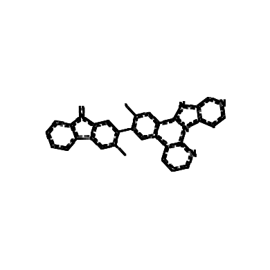 Cc1cc2c(cc1-c1cc3c4cccnc4n4c5ccncc5nc4c3cc1C)[nH]c1ccccc12